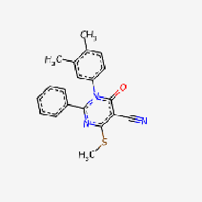 CSc1nc(-c2ccccc2)n(-c2ccc(C)c(C)c2)c(=O)c1C#N